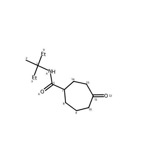 CCC(C)(CC)NC(=O)C1CCCC(=O)CC1